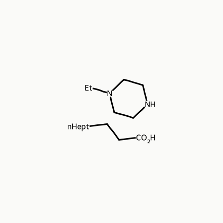 CCCCCCCCCC(=O)O.CCN1CCNCC1